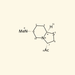 CN[C@@H]1CC[C@H]2SC[C@H](C(C)=O)N2C1